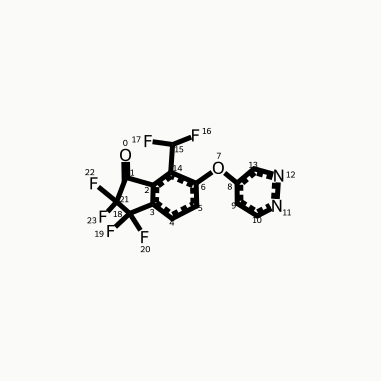 O=C1c2c(ccc(Oc3ccnnc3)c2C(F)F)C(F)(F)C1(F)F